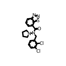 O=C(c1cccc2nnsc12)N(Cc1cccc(Cl)c1Cl)N1CCCC1